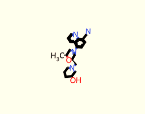 C[C@@H]1CN(c2ccc(C#N)c3ncccc23)C[C@@H](CN2CCC[C@H](O)C2)O1